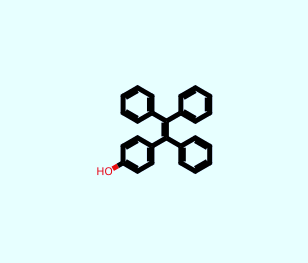 Oc1ccc(C(=C(c2ccccc2)c2ccccc2)c2ccccc2)cc1